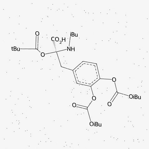 CCC(C)N[C@@](Cc1ccc(OC(=O)OCC(C)C)c(OC(=O)OCC(C)C)c1)(OC(=O)C(C)(C)C)C(=O)O